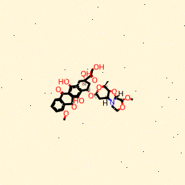 COc1cccc2c1C(=O)c1c(O)c3c(c(O)c1C2=O)C[C@@](O)(C(=O)CO)C[C@@H]3O[C@H]1C[C@H]2C(O[C@@H]3[C@@H](OC)OCCN32)[C@H](C)O1